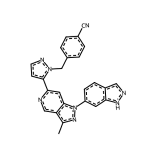 Cc1nn(-c2ccc3cn[nH]c3c2)c2cc(-c3ccnn3Cc3ccc(C#N)cc3)ncc12